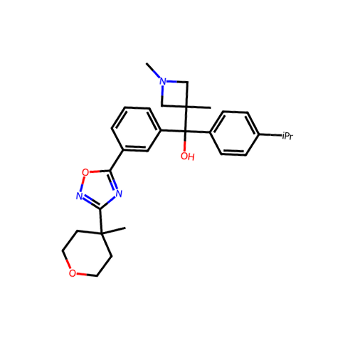 CC(C)c1ccc(C(O)(c2cccc(-c3nc(C4(C)CCOCC4)no3)c2)C2(C)CN(C)C2)cc1